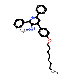 CCCCCCCCOc1ccc(-c2cc(-c3ccccc3)nc(-c3ccccc3)c2NC)cc1